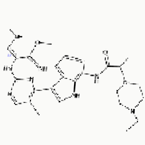 CCN1CCN(C(C)C(=O)Nc2cccc3c(-c4nc(N/C(=C/NC)C(=N)OC)ncc4C)c[nH]c23)CC1